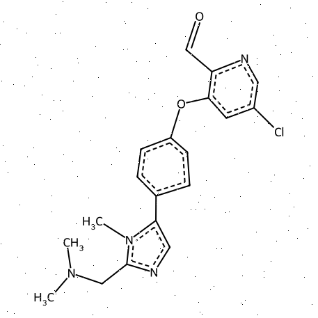 CN(C)Cc1ncc(-c2ccc(Oc3cc(Cl)cnc3C=O)cc2)n1C